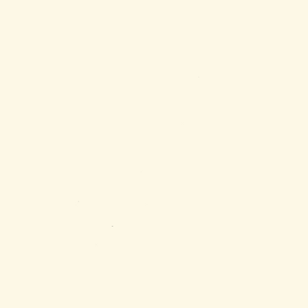 CC1CC12CCCc1cc(OCc3ccccc3)ccc12